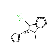 CC1=[C]([Zr+2][C]2=CC=CC2)C(C)c2ccccc21.[Cl-].[Cl-]